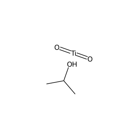 CC(C)O.[O]=[Ti]=[O]